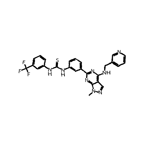 Cn1ncc2c(NCc3cccnc3)nc(-c3cccc(NC(=S)Nc4cccc(C(F)(F)F)c4)c3)nc21